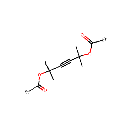 CCC(=O)OC(C)(C)C#CC(C)(C)OC(=O)CC